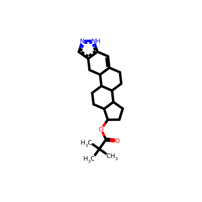 CC(C)(C)C(=O)OC1CCC2C1CCC1C3Cc4cn[nH]c4C=C3CCC12